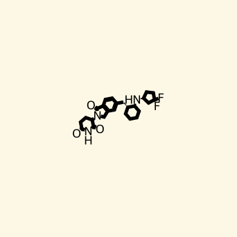 O=C1CCC(N2Cc3cc(C[C@H]4CCCC[C@@H]4N[C@@H]4CCC(F)(F)C4)ccc3C2=O)C(=O)N1